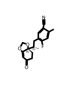 Cc1cc(F)c(C[C@H](C)[C@]23CCC(=O)C=C2OCO3)cc1C#N